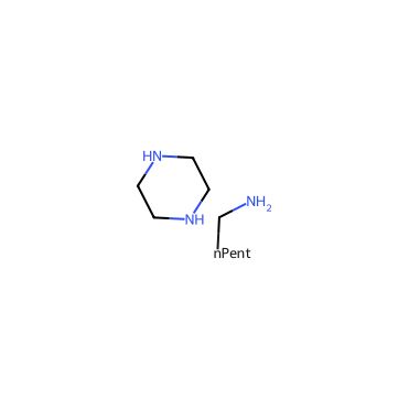 C1CNCCN1.CCCCCCN